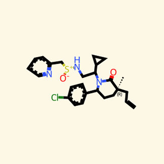 C=CC[C@@]1(C)CCC(c2ccc(Cl)cc2)N(C(CN[S+]([O-])Cc2ccccn2)C2CC2)C1=O